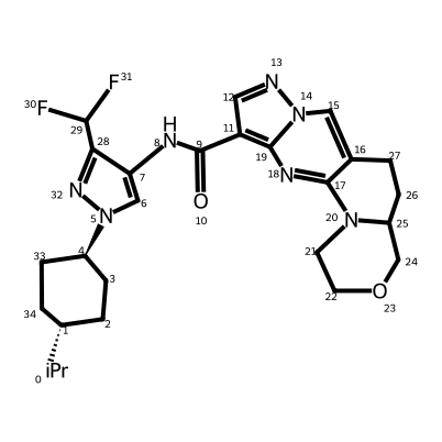 CC(C)[C@H]1CC[C@H](n2cc(NC(=O)c3cnn4cc5c(nc34)N3CCOCC3CC5)c(C(F)F)n2)CC1